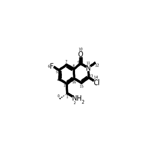 C[C@@H](N)c1cc(F)cc2c(=O)n(C)c(Cl)cc12